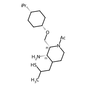 CC(=O)N1CCC(CC(C)S)[C@H](N)[C@@H]1CO[C@H]1CC[C@@H](C(C)C)CC1